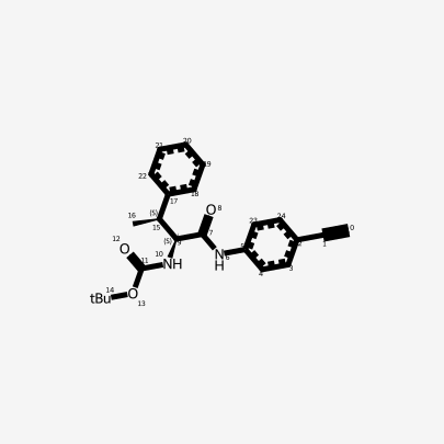 C#Cc1ccc(NC(=O)[C@@H](NC(=O)OC(C)(C)C)[C@@H](C)c2ccccc2)cc1